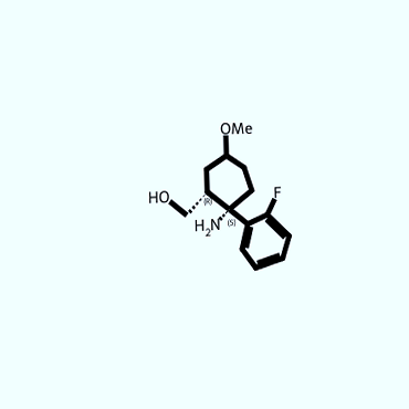 COC1CC[C@@](N)(c2ccccc2F)[C@H](CO)C1